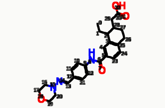 CCC1c2cc(C(=O)Nc3ccc(C=NN4CCOCC4)cc3)ccc2CCC1CC(=O)O